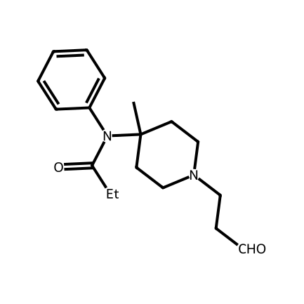 CCC(=O)N(c1ccccc1)C1(C)CCN(CCC=O)CC1